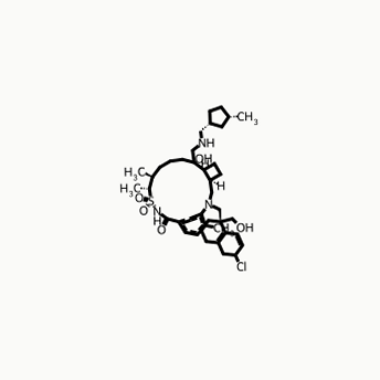 Cc1ccc2cc1N(C[C@]1(CO)CCCC3=C1C=CC(Cl)C3)C[C@@H]1CC[C@H]1[C@](O)(CNC[C@@H]1CC[C@H](C)C1)CCC[C@H](C)[C@@H](C)S(=O)(=O)NC2=O